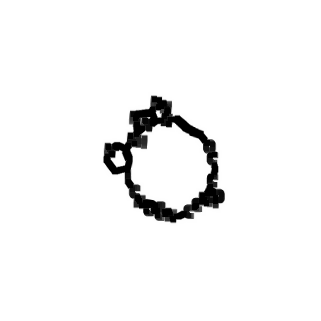 O=C1CCCOc2ccc(cc2)-n2nnc3cnc(nc32)NC2=CC(CCN=C2)CCN2CCN(CCCN1)CC2